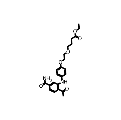 CCOC(=O)CCCOCCOc1ccc(Nc2cc(C(N)=O)ccc2C(C)=O)cc1